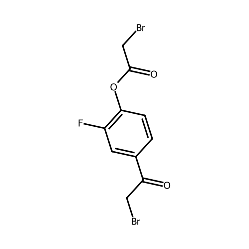 O=C(CBr)Oc1ccc(C(=O)CBr)cc1F